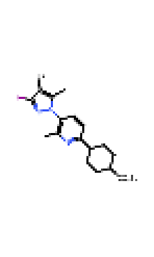 CCOC(=O)C1CCC(c2ccc(-n3nc(I)c(C(C)C)c3C)c(C)n2)CC1